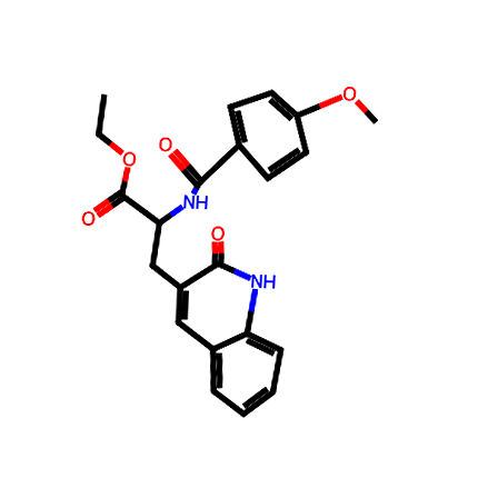 CCOC(=O)C(Cc1cc2ccccc2[nH]c1=O)NC(=O)c1ccc(OC)cc1